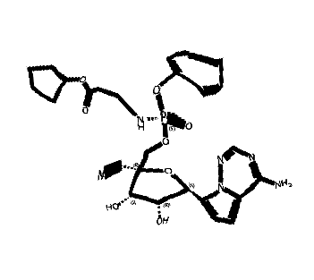 N#C[C@]1(CO[P@@](=O)(NCC(=O)OC2CCCC2)Oc2ccccc2)O[C@@H](c2ccc3c(N)ncnn23)[C@H](O)[C@@H]1O